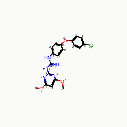 COc1cc(OC)nc(NC(=N)Nc2ccc(Oc3ccc(Cl)cc3)cc2)n1